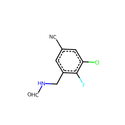 N#Cc1cc(Cl)c(F)c(CNC=O)c1